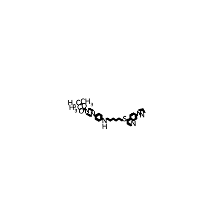 CC(C)(C)OC(=O)N1CCN(c2ccc(NCCCCCCSc3ccnc4cc(-n5cccn5)ccc34)cc2)CC1